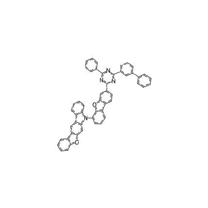 c1ccc(-c2cccc(-c3nc(-c4ccccc4)nc(-c4ccc5c(c4)oc4c(-n6c7ccccc7c7cc8c(cc76)oc6ccccc68)cccc45)n3)c2)cc1